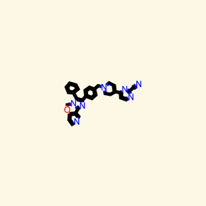 N#Cc1nccc(C2=CCN(Cc3ccc(-c4nc5n(c4-c4ccccc4)COc4ccncc4-5)cc3)CC2)n1